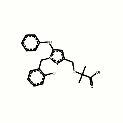 CC(C)(OCc1cc(Nc2ccccc2)n(Cc2ccccc2Cl)n1)C(=O)O